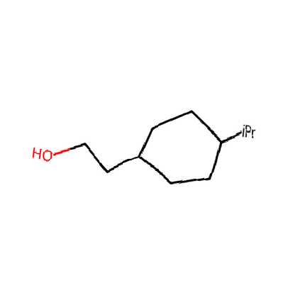 CC(C)C1CCC(CCO)CC1